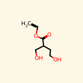 C=COC(=O)C(CO)CCO